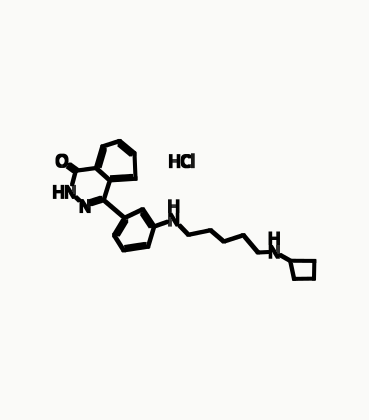 Cl.O=c1[nH]nc(-c2cccc(NCCCCCNC3CCC3)c2)c2ccccc12